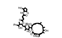 CO/C1=C/C(C)=C\C(C)C(O)C(C)C/C(C)=C\C=C/C(OC)C(C(C)C(O)C(C)C(=O)CC(OC(=O)/C=C/C(=O)NC2=C(O)CCC2=O)C(C)C(O)C(C)C)OC1=O